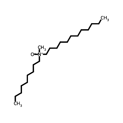 CCCCCCCCCCCC[N+](C)([O-])CCCCCCCCC